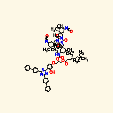 CC(C)(C)CCCCCC(=O)OCC(COc1ccc(-c2nc(-c3ccc(-c4ccccc4)cc3)nc(-c3ccc(-c4ccccc4)cc3)n2)c(O)c1)OC(=O)NC1CC(C)(C)CC(C)(Cn2c(=O)n(CC3(C)CC(N=C=O)CC(C)(C)C3)c(=O)n(CC3(C)CC(N=C=O)CC(C)(C)C3)c2=O)C1